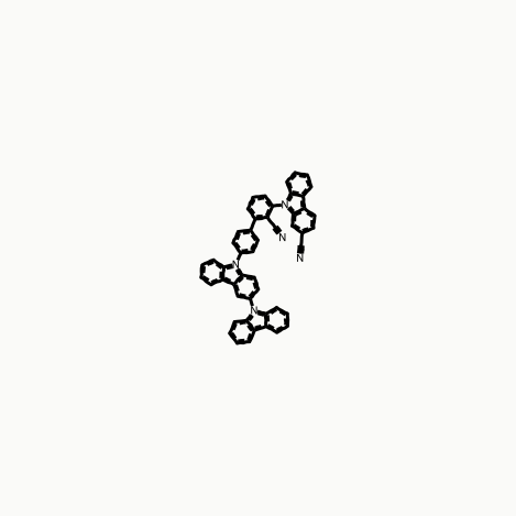 N#Cc1ccc2c3ccccc3n(-c3cccc(-c4ccc(-n5c6ccccc6c6cc(-n7c8ccccc8c8ccccc87)ccc65)cc4)c3C#N)c2c1